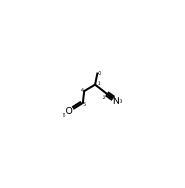 CC(C#N)CC=O